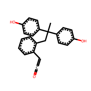 CC(Cc1ccccc1C=C=O)(c1ccc(O)cc1)c1ccc(O)cc1